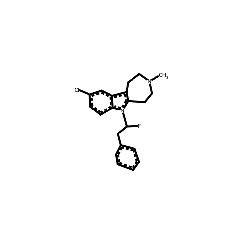 CN1CCc2c(n(C(F)Cc3ccccc3)c3ccc(Cl)cc23)CC1